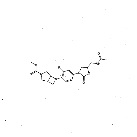 COC(=O)N1CC2CN(c3ccc(N4CC(CNC(C)=O)OC4=O)cc3F)C2C1